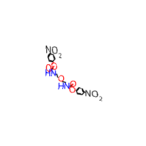 O=C(NCCOCCNC(=O)Oc1ccc([N+](=O)[O-])cc1)Oc1ccc([N+](=O)[O-])cc1